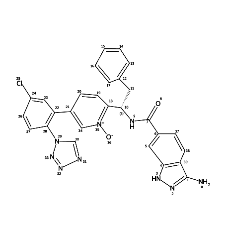 Nc1n[nH]c2cc(C(=O)N[C@@H](Cc3ccccc3)c3ccc(-c4cc(Cl)ccc4-n4cnnn4)c[n+]3[O-])ccc12